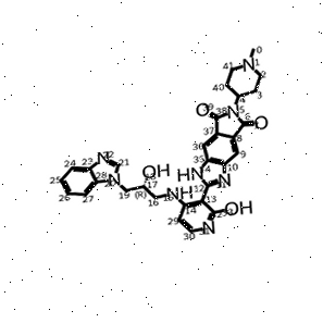 CN1CCC(N2C(=O)c3cc4nc(-c5c(NC[C@@H](O)Cn6cnc7ccccc76)ccnc5O)[nH]c4cc3C2=O)CC1